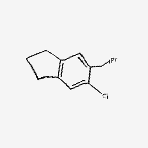 CC(C)c1cc2c(cc1Cl)CCC2